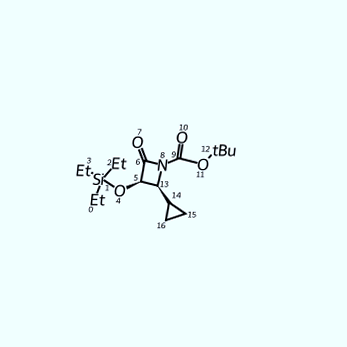 CC[Si](CC)(CC)O[C@H]1C(=O)N(C(=O)OC(C)(C)C)[C@H]1C1CC1